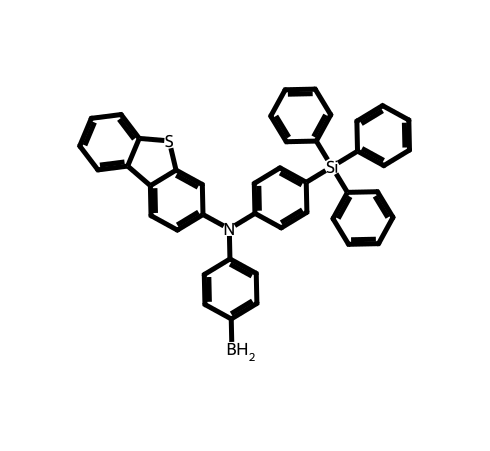 Bc1ccc(N(c2ccc([Si](c3ccccc3)(c3ccccc3)c3ccccc3)cc2)c2ccc3c(c2)sc2ccccc23)cc1